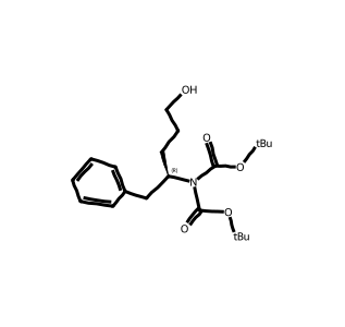 CC(C)(C)OC(=O)N(C(=O)OC(C)(C)C)[C@H](CCCO)Cc1ccccc1